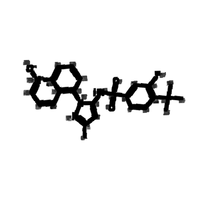 Cc1cc(NS(=O)(=O)c2ccc(C(C)(C)C)c(F)c2)n(-c2cccc3c2ccc[n+]3[O-])n1